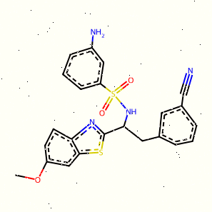 COc1ccc2nc(C(Cc3cccc(C#N)c3)NS(=O)(=O)c3cccc(N)c3)sc2c1